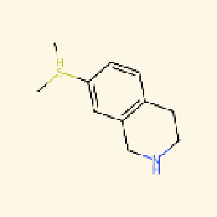 C[SH](C)c1ccc2c(c1)CNCC2